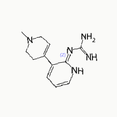 CN1CC=C(c2ccc[nH]/c2=N\C(=N)N)CC1